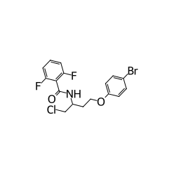 O=C(NC(CCl)CCOc1ccc(Br)cc1)c1c(F)cccc1F